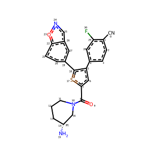 N#Cc1ccc(-c2cc(C(=O)N3CCC[C@@H](N)C3)sc2-c2ccc3oncc3c2)cc1F